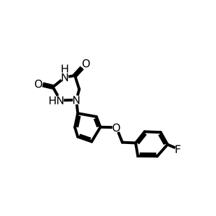 O=C1CN(c2cccc(OCc3ccc(F)cc3)c2)NC(=O)N1